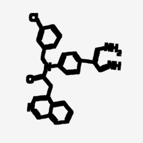 N=C/C(=C\N)c1ccc(N(Cc2cccc(Cl)c2)C(=O)Cc2cncc3ccccc23)cc1